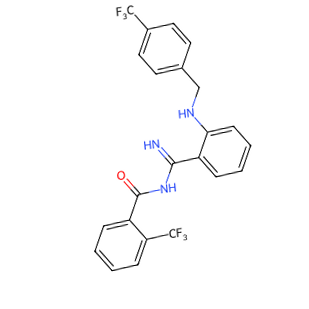 N=C(NC(=O)c1ccccc1C(F)(F)F)c1ccccc1NCc1ccc(C(F)(F)F)cc1